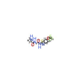 O=C(CNC(=O)[C@H]1CCCN1)Nc1nc2ccc(OC(F)(F)F)cc2s1